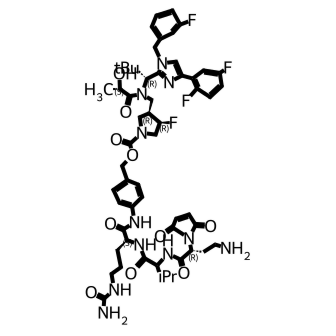 CC(C)C(NC(=O)[C@@H](CCN)N1C(=O)C=CC1=O)C(=O)N[C@@H](CCCNC(N)=O)C(=O)Nc1ccc(COC(=O)N2C[C@@H](CN(C(=O)[C@H](C)O)[C@@H](c3nc(-c4cc(F)ccc4F)cn3Cc3cccc(F)c3)C(C)(C)C)[C@@H](F)C2)cc1